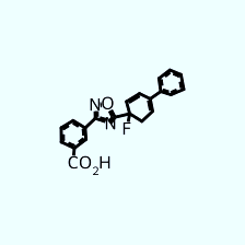 O=C(O)c1cccc(-c2noc(C3(F)C=CC(c4ccccc4)=CC3)n2)c1